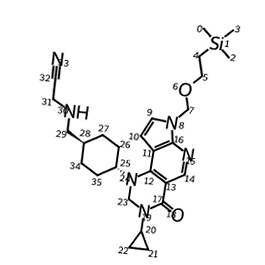 C[Si](C)(C)CCOCn1ccc2c3c(cnc21)C(=O)N(C1CC1)CN3[C@H]1CC[C@H](CNCC#N)CC1